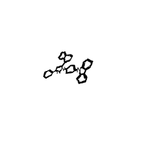 c1ccc(-c2cc(-c3cccc4ccccc34)n(-c3ccc(-n4c5ccccc5c5ccccc54)cc3)n2)cc1